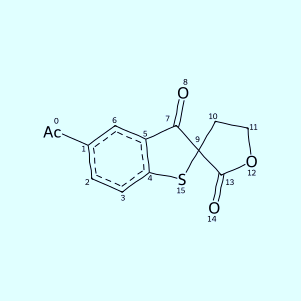 CC(=O)c1ccc2c(c1)C(=O)C1(CCOC1=O)S2